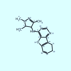 CC1=NN(C)C(C)C1Nc1ncnc2c3c(oc12)C=CCC3